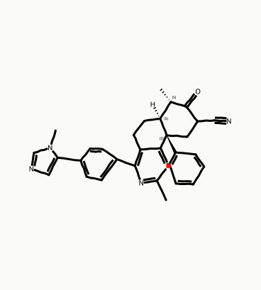 Cc1nc(-c2ccc(-c3cncn3C)cc2)c2c(n1)[C@@]1(c3ccccc3)CC(C#N)C(=O)[C@@H](C)[C@@H]1CC2